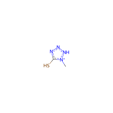 C[n+]1[nH]nnc1S